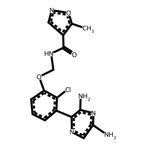 Cc1oncc1C(=O)NCOc1cccc(-c2ncc(N)nc2N)c1Cl